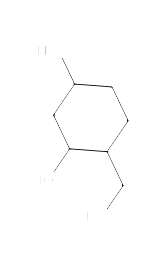 CC1CCC(CO)C(O)C1